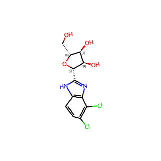 OC[C@H]1O[C@@H](c2nc3c(Cl)c(Cl)ccc3[nH]2)[C@H](O)[C@@H]1O